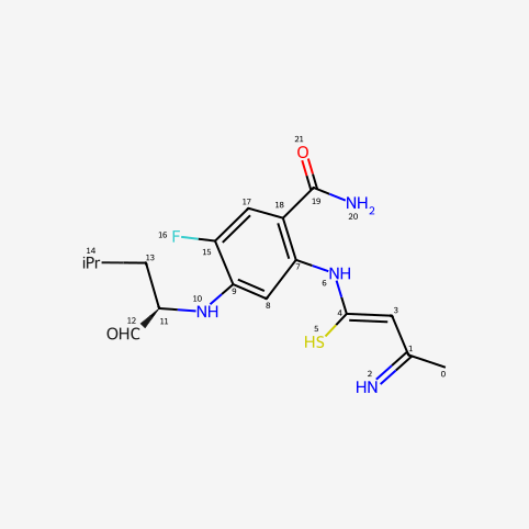 CC(=N)/C=C(\S)Nc1cc(N[C@@H](C=O)CC(C)C)c(F)cc1C(N)=O